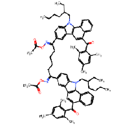 CCCCC(CC)Cn1c2ccc(/C(CCCC/C(=N\OC(C)=O)c3ccc4c(c3)c3cc(C(=O)c5c(C)cc(C)cc5C)c5ccccc5c3n4CC(CC)CCCC)=N/OC(C)=O)cc2c2cc(C(=O)c3c(C)cc(C)cc3C)c3ccccc3c21